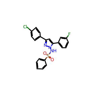 O=S(=O)(Nn1nc(-c2ccc(Cl)cc2)cc1-c1cccc(F)c1)c1ccccc1